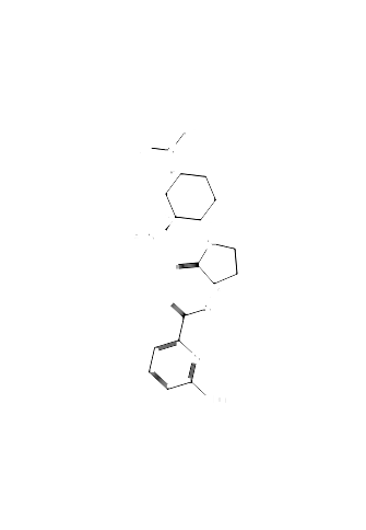 CC(=O)N[C@H]1C[C@H](N(C)C(C)C)CC[C@@H]1N1CC[C@H](NC(=O)c2cccc(C(C)(C)C)n2)C1=O